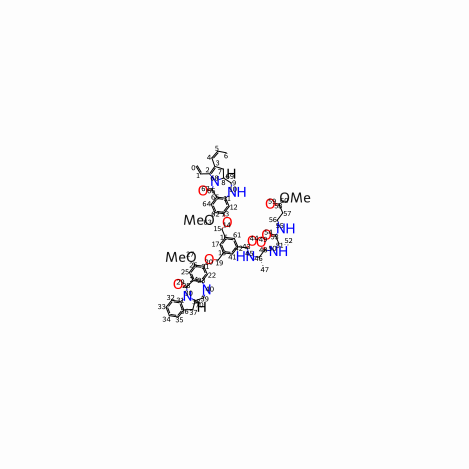 C=CC1=C(/C=C\C)C[C@H]2CNc3cc(OCc4cc(COc5cc6c(cc5OC)C(=O)N5c7ccccc7C[C@H]5C=N6)cc(C(=O)N[C@@H](C)C(=O)N[C@@H](C)C(=O)NCCC(=O)OC)c4)c(OC)cc3C(=O)N12